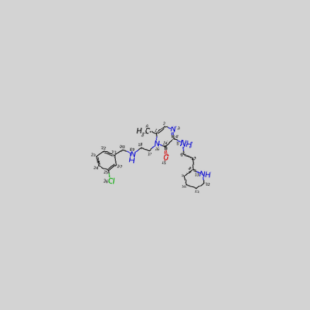 Cc1cnc(NCCC2CCCCN2)c(=O)n1CCNCc1cccc(Cl)c1